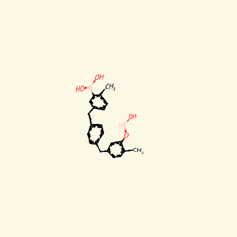 Cc1ccc(Cc2ccc(Cc3ccc(C)c(B(O)O)c3)cc2)cc1OBO